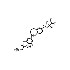 Cc1cc(N2CCCc3cc(OCC(F)(F)C(F)F)ccc3C2)cc(C)c1NC(=O)CC(C)(C)C